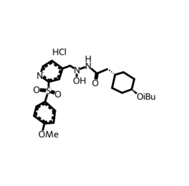 COc1ccc(S(=O)(=O)c2cc(CN(O)NC(=O)C[C@H]3CC[C@H](OCC(C)C)CC3)ccn2)cc1.Cl